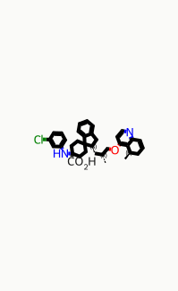 C[C@@H](COc1ccnc2c1[C@H](C)CC=C2)C[C@H]1Cc2ccccc2C12CCC(Nc1cccc(Cl)c1)(C(=O)O)CC2